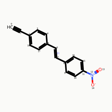 C#Cc1ccc(/C=C/c2ccc([N+](=O)[O-])cc2)cc1